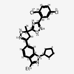 CCc1nn(C2CCCC2)c2cc(C3=NOC(C)(c4nc(-c5cc(Cl)ccc5Cl)no4)C3)ccc12